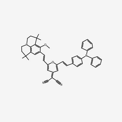 COc1c(/C=C/C2=CC(=C(C#N)C#N)C=C(/C=C/c3ccc(N(c4ccccc4)c4ccccc4)cc3)O2)cc2c3c1C(C)(C)CCN3CCC2(C)C